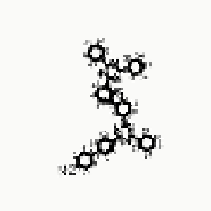 N#Cc1ccc(-c2ccc(-c3nc(-c4ccccc4)nc(-c4ccc5sc6c(-c7nc(-c8ccccc8)nc(-c8ccccc8)n7)cccc6c5c4)n3)cc2)cc1